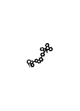 CC1=C=CC=Cc2cc(-c3ccc4c(ccc5ccc(-c6ccc(-c7nc8c9ccccc9c9ccccc9c8c8ccccc78)cc6)cc54)c3)c3cccnc3c21